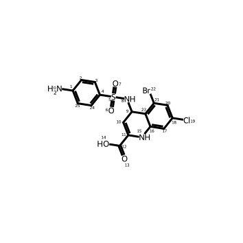 Nc1ccc(S(=O)(=O)NC2C=C(C(=O)O)Nc3cc(Cl)cc(Br)c32)cc1